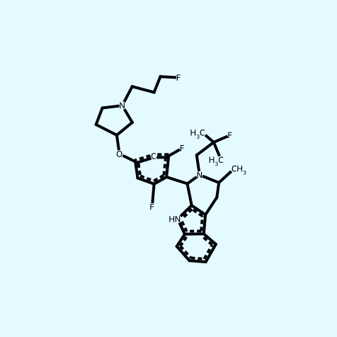 CC1Cc2c([nH]c3ccccc23)C(c2c(F)cc(OC3CCN(CCCF)C3)cc2F)N1CC(C)(C)F